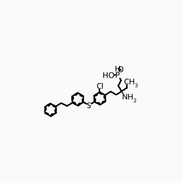 CC[C@](N)(CCc1ccc(Sc2cccc(CCc3ccccc3)c2)cc1Cl)CC[PH](=O)O